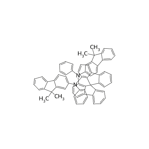 CC1(C)c2ccccc2-c2ccc(N(c3ccccc3)c3cccc4c3C3(c5ccccc5-4)c4ccccc4-c4cccc(N(c5ccccc5)c5ccc6c(c5)C(C)(C)c5ccccc5-6)c43)cc21